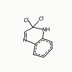 ClC1(Cl)C=Nc2ccccc2N1